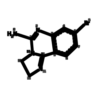 NC1=Nc2cc(Br)ccc2C2=NCCN12